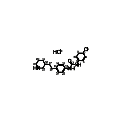 Cl.O=C(Nc1ccc(Cl)cc1)Nc1ccc(CCC2CCCNC2)cc1